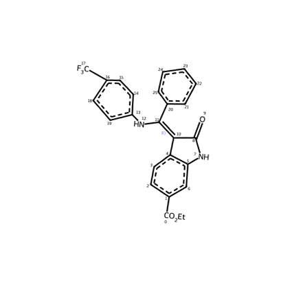 CCOC(=O)c1ccc2c(c1)NC(=O)/C2=C(/Nc1ccc(C(F)(F)F)cc1)c1ccccc1